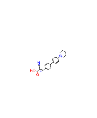 N#C/C(=C\c1ccc(-c2ccc(N3CCCCC3)cc2)cc1)C(=O)O